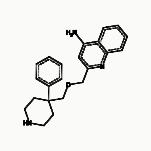 Nc1cc(COCC2(c3ccccc3)CCNCC2)nc2ccccc12